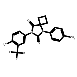 Cc1ccc(N2C(=O)N(c3ccc(C)c(C(F)(F)F)c3)C(=O)C23CCC3)cc1